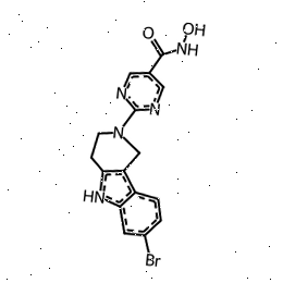 O=C(NO)c1cnc(N2CCc3[nH]c4cc(Br)ccc4c3C2)nc1